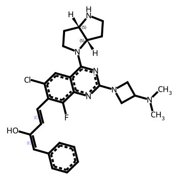 CN(C)C1CN(c2nc(N3CC[C@@H]4NCC[C@@H]43)c3cc(Cl)c(/C=C/C(O)=C\c4ccccc4)c(F)c3n2)C1